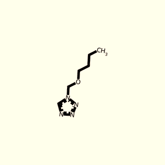 CCCCOCn1cnnn1